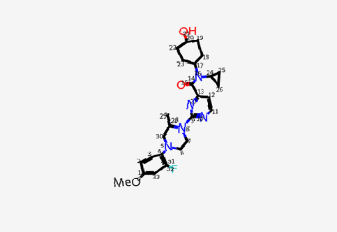 COc1ccc(N2CCN(c3nccc(C(=O)N(C4CCC(O)CC4)C4CC4)n3)C(C)C2)c(F)c1